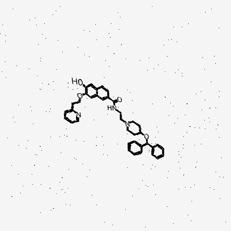 O=C(NCCN1CCC(OC(c2ccccc2)c2ccccc2)CC1)c1ccc2cc(O)c(OCCc3ccccn3)cc2c1